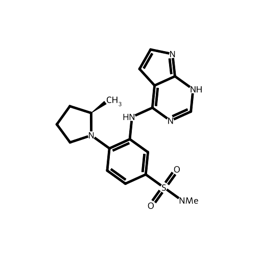 CNS(=O)(=O)c1ccc(N2CCC[C@H]2C)c(Nc2nc[nH]c3nccc2-3)c1